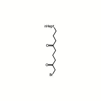 CCCCCCCCCCC(=O)CCCC(=O)CBr